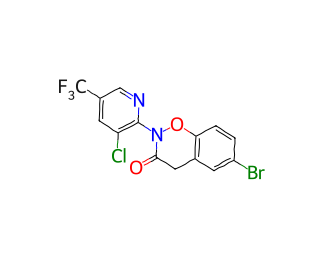 O=C1Cc2cc(Br)ccc2ON1c1ncc(C(F)(F)F)cc1Cl